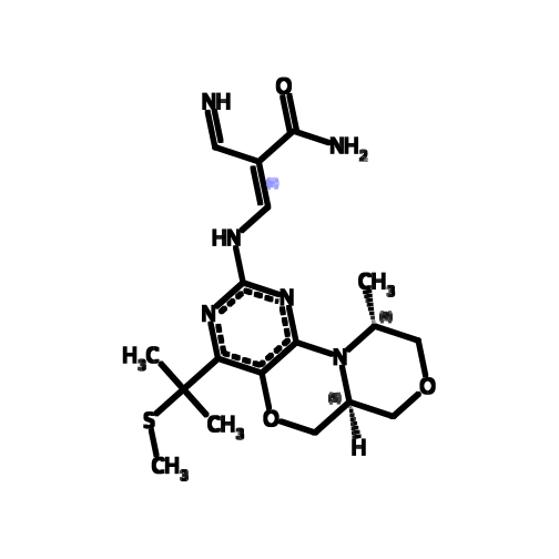 CSC(C)(C)c1nc(N/C=C(\C=N)C(N)=O)nc2c1OC[C@@H]1COC[C@@H](C)N21